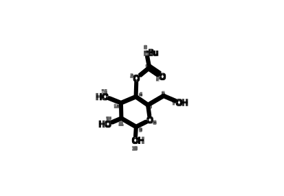 CCCCC(=O)OC1C(CO)OC(O)C(O)C1O